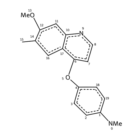 CNc1ccc(Oc2ccnc3cc(OC)c(C)cc23)cc1